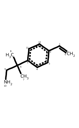 C=Cc1ccc(C(C)(C)CN)cc1